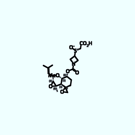 CO[C@@H]1[C@H](OC(=O)N2CC([S+]([O-])CC(=O)O)C2)CC[C@]2(CO2)[C@H]1[C@@]1(C)O[C@@H]1CC=C(C)C